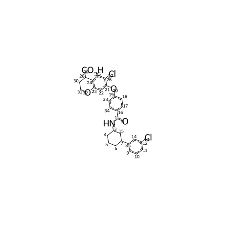 O=C(NC1CCCC(c2cccc(Cl)c2)C1)c1ccc(Oc2cc3c(cc2Cl)C(C(=O)O)CCO3)cc1